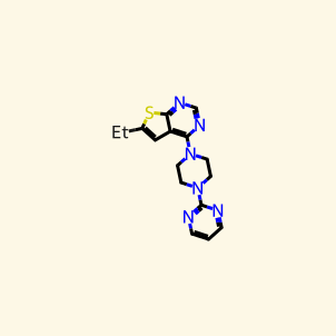 CCc1cc2c(N3CCN(c4ncccn4)CC3)ncnc2s1